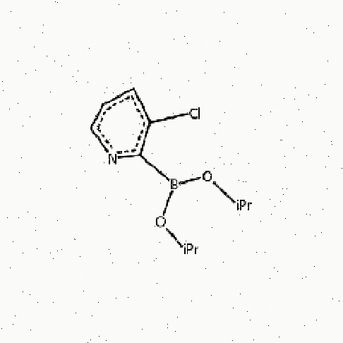 CC(C)OB(OC(C)C)c1ncccc1Cl